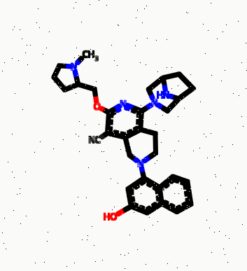 CN1CCCC1COc1nc(N2CC3CCC(C2)N3)c2c(c1C#N)CN(c1cc(O)cc3ccccc13)CC2